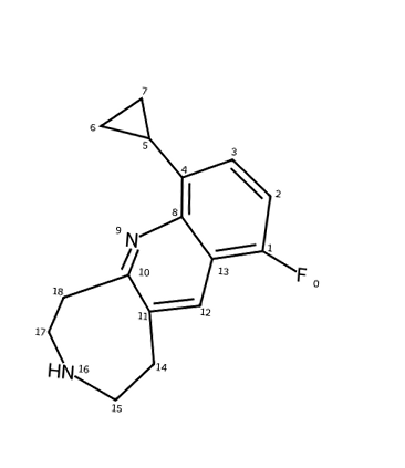 Fc1ccc(C2CC2)c2nc3c(cc12)CCNCC3